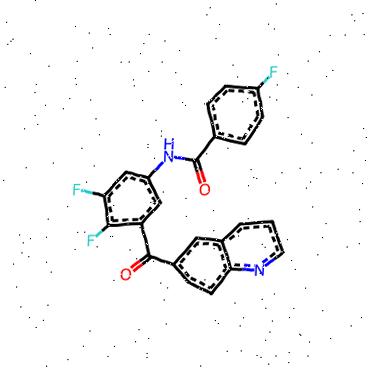 O=C(Nc1cc(F)c(F)c(C(=O)c2ccc3ncccc3c2)c1)c1ccc(F)cc1